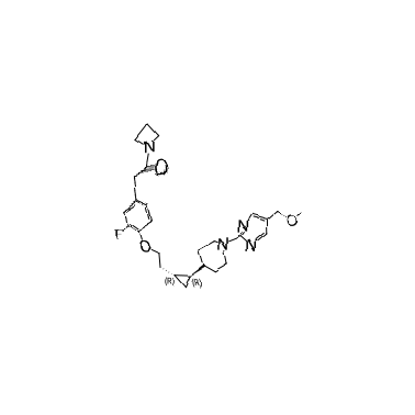 COCc1cnc(N2CCC([C@H]3C[C@@H]3CCOc3ccc(CC(=O)N4CCC4)cc3F)CC2)nc1